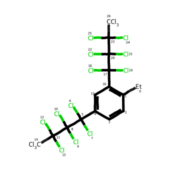 [CH2]Cc1ccc(C(Cl)(Cl)C(Cl)(Cl)C(Cl)(Cl)C(Cl)(Cl)Cl)cc1C(Cl)(Cl)C(Cl)(Cl)C(Cl)(Cl)C(Cl)(Cl)Cl